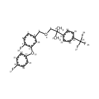 CC(C)(COCc1ccc(F)c(Oc2ccc(F)cc2)c1)c1ccc(C(F)(F)F)cc1